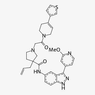 C=CCC1(C(=O)Nc2ccc3[nH]nc(-c4ccnc(OC)c4)c3c2)CCN(CC(=O)N2CC=C(c3ccsc3)CC2)C1